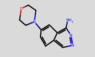 Nc1nncc2ccc(N3CCOCC3)cc12